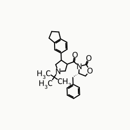 CC(C)(C)N1CC(C(=O)N2C(=O)OC[C@@H]2Cc2ccccc2)C(c2ccc3c(c2)CCC3)C1